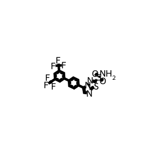 NS(=O)(=O)c1nn2c(-c3ccc(-c4cc(C(F)(F)F)cc(C(F)(F)F)c4)cc3)cnc2s1